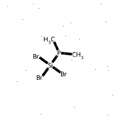 CP(C)[Si](Br)(Br)Br